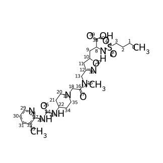 CCCCS(=O)(=O)NC(CC1CC(CN(C)C(=O)CN2CCC(NC(=O)Nc3ncccc3C)CC2)=NO1)C(=O)O